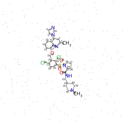 Cc1cc(-n2ccnc2)c2cccc(OCc3c(Cl)ccc(S(=O)(=O)N4CCC[C@H]4C(=O)NCC4CCN(C)CC4)c3Cl)c2n1